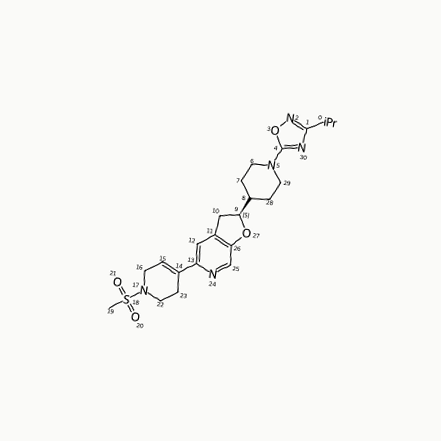 CC(C)c1noc(N2CCC([C@@H]3Cc4cc(C5=CCN(S(C)(=O)=O)CC5)ncc4O3)CC2)n1